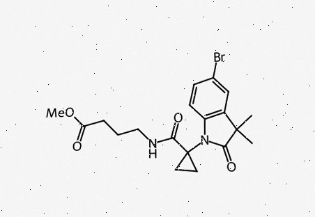 COC(=O)CCCNC(=O)C1(N2C(=O)C(C)(C)c3cc(Br)ccc32)CC1